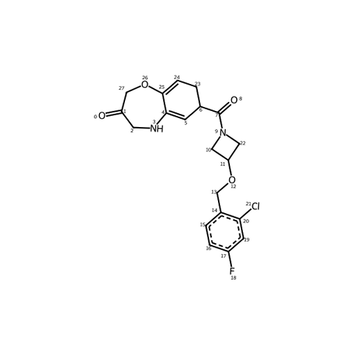 O=C1CNC2=CC(C(=O)N3CC(OCc4ccc(F)cc4Cl)C3)CC=C2OC1